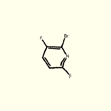 Fc1[c]cc(F)c(Br)n1